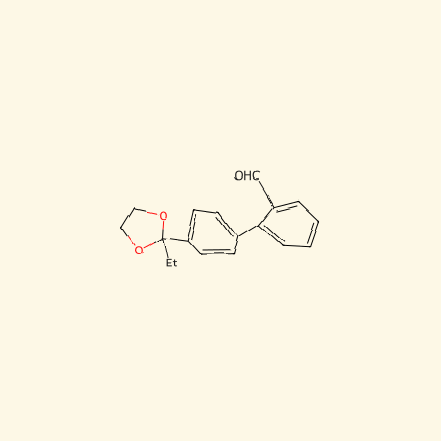 CCC1(c2ccc(-c3ccccc3C=O)cc2)OCCO1